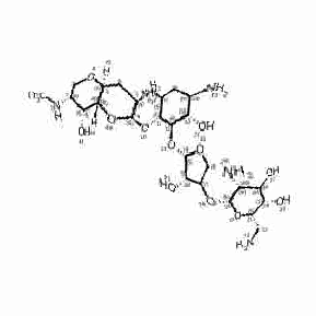 CN[C@@H]1CO[C@H]2C[C@@H](N)[C@@H](O[C@H]3[C@H](O[C@@H]4OCC(O[C@H]5O[C@@H](CN)[C@@H](O)[C@H](O)[C@H]5N)[C@@H]4O)[C@@H](O)[C@H](N)C[C@@H]3N)O[C@@H]2[C@@H]1O